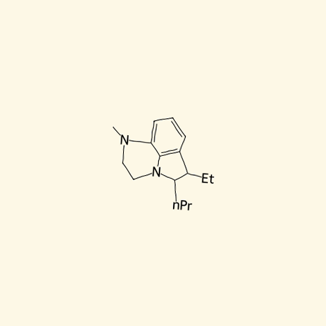 CCCC1C(CC)c2cccc3c2N1CCN3C